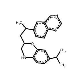 CC(C)c1ccc2c(c1)OC(CC(C)c1ccc3ncncc3c1)CN2